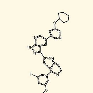 COc1cc(F)cc(-c2nccc3[nH]c(-c4n[nH]c5ncc(-c6cncc(OC7CCCCC7)c6)cc45)cc23)c1